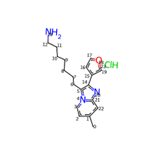 Cc1ccn2c(CCCCCCCN)c(-c3ccoc3)nc2c1.Cl